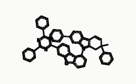 CC1(c2ccccc2)C=Cc2c(n(-c3cccc4oc5cc(-c6nc(-c7ccccc7)nc(-c7ccccc7)n6)ccc5c34)c3cc(-c4ccccc4)ccc23)C1